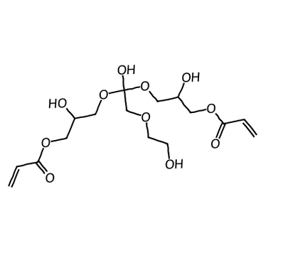 C=CC(=O)OCC(O)COC(O)(COCCO)OCC(O)COC(=O)C=C